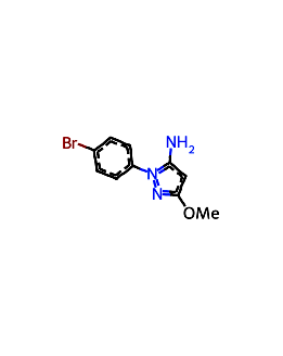 COc1cc(N)n(-c2ccc(Br)cc2)n1